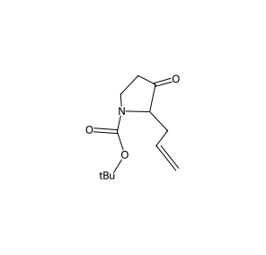 C=CCC1C(=O)CCN1C(=O)OC(C)(C)C